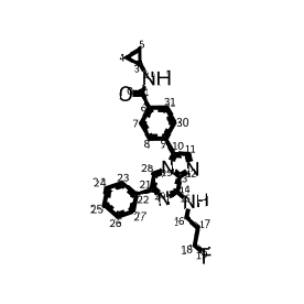 O=C(NC1CC1)c1ccc(-c2cnc3c(NCCCF)nc(-c4ccccc4)cn23)cc1